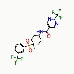 CC1(S(=O)(=O)c2cccc(C(F)(F)F)c2)CCC(NC(=O)c2cnc(C(F)(F)F)nc2)CC1